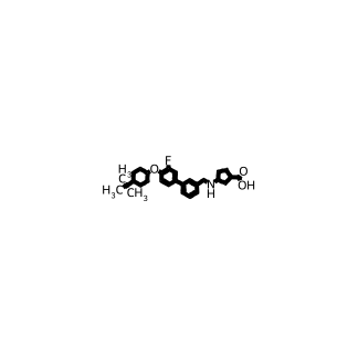 CC(C)(C)C1CCC(Oc2ccc(-c3cccc(CNC4CCC(C(=O)O)C4)c3)cc2F)CC1